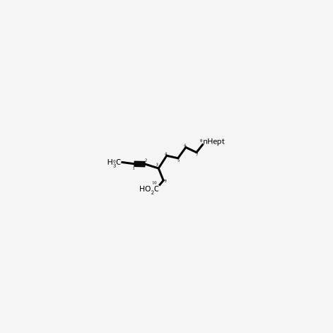 CC#CC(CCCCCCCCCCC)CC(=O)O